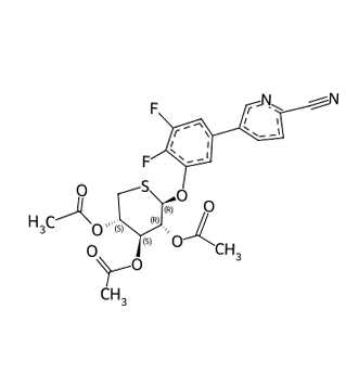 CC(=O)O[C@@H]1[C@@H](OC(C)=O)[C@H](OC(C)=O)CS[C@H]1Oc1cc(-c2ccc(C#N)nc2)cc(F)c1F